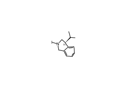 CC(C)[C@@H]1CN(I)Cc2ccccc21